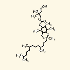 Cc1c(C)c2c(c(C)c1OC(=O)OCC(C)(O)CCO)CCC(C)(CCCC(C)CCCC(C)CCCC(C)C)O2